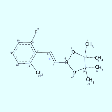 CC1(C)OB(/C=C/c2c(F)cccc2C(F)(F)F)OC1(C)C